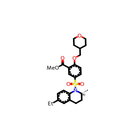 CCc1ccc2c(c1)CC[C@@H](C)N2S(=O)(=O)c1ccc(OCC2CCOCC2)c(C(=O)OC)c1